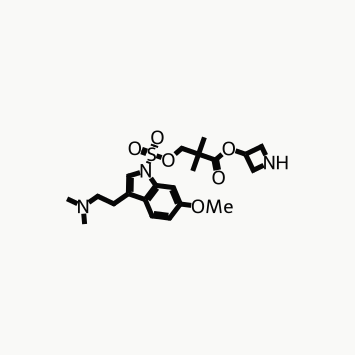 COc1ccc2c(CCN(C)C)cn(S(=O)(=O)OCC(C)(C)C(=O)OC3CNC3)c2c1